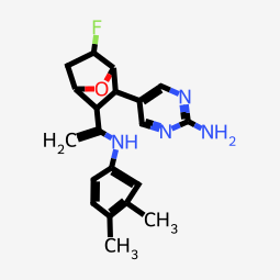 C=C(Nc1ccc(C)c(C)c1)C1C2CC(F)C(O2)C1c1cnc(N)nc1